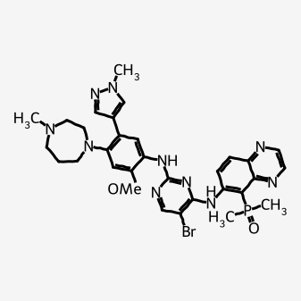 COc1cc(N2CCCN(C)CC2)c(-c2cnn(C)c2)cc1Nc1ncc(Br)c(Nc2ccc3nccnc3c2P(C)(C)=O)n1